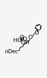 CCCCCCCCCCCCCCCC(COCCOc1ccccc1)OP(=O)(O)O